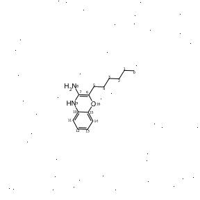 CCCCCCC1=C(N)Nc2ccccc2O1